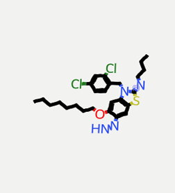 CCCCCCCCOc1cc2c(cc1N=N)s/c(=N/CCCC)n2Cc1ccc(Cl)cc1Cl